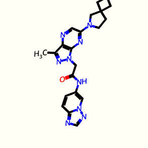 Cc1nn(CC(=O)Nc2ccc3ncnn3c2)c2nc(N3CCC4(CCC4)C3)cnc12